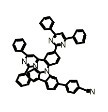 N#Cc1ccc(-c2ccc3c4ccccc4n(-c4ccc(-c5nc(-c6ccccc6)cc(-c6ccccc6)n5)cc4-c4cc(-c5ccccc5)nc(-c5ccccc5)n4)c3c2)cc1